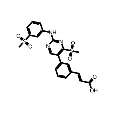 CS(=O)(=O)c1cccc(Nc2ncc(-c3cccc(C=CC(=O)O)c3)c(S(C)(=O)=O)n2)c1